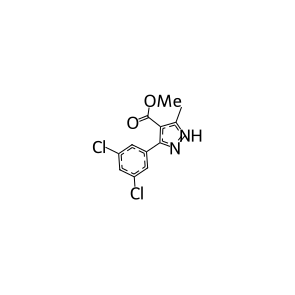 COC(=O)c1c(-c2cc(Cl)cc(Cl)c2)n[nH]c1C